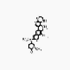 Cc1c(-c2cc3cc(N(C(=O)O)C4CCC(=O)N(C)C4)ncc3c(N)c2F)cnc2c1NCCO2